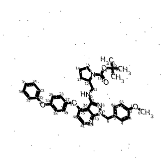 COc1ccc(Cn2nc(NCC3CCCN3C(=O)OC(C)(C)C)c3c(Oc4ccc(Oc5ccccc5)cc4)ccnc32)cc1